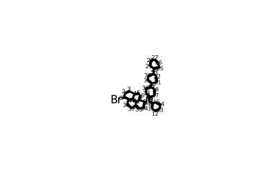 Brc1ccc2ccc3c(N(c4ccccc4)c4ccc(-c5ccc(-c6ccccc6)cc5)cc4)ccc4ccc1c2c43